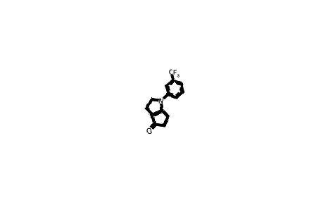 O=C1CCC2=C1CCN2c1cccc(C(F)(F)F)c1